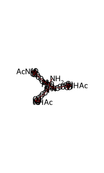 CC(=O)N[C@H]1[C@H]2OC[C@](COCCOCCOCCOCCn3cc(COCC(COCc4cn(CCOCCOCCOCCOC[C@@]56CO[C@@H](O5)[C@H](NC(C)=O)[C@H]5OC(C)(C)O[C@H]56)nn4)(COCc4cn(CCOCCOCCOCCOC[C@@]56CO[C@@H](O5)[C@H](NC(C)=O)[C@H]5OC(C)(C)O[C@H]56)nn4)NC(=O)CCCCCN)nn3)(O2)[C@@H]2OC(C)(C)O[C@H]12